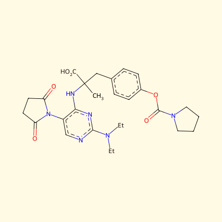 CCN(CC)c1ncc(N2C(=O)CCC2=O)c(NC(C)(Cc2ccc(OC(=O)N3CCCC3)cc2)C(=O)O)n1